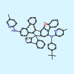 Cc1ccc(Nc2ccc3c4c(c5ccccc5c3c2)-c2c(cc(N(c3ccc(C(C)(C)C)cc3)c3ccc(C)cn3)c3c2oc2ccccc23)C42c3ccccc3-c3ccccc32)nc1